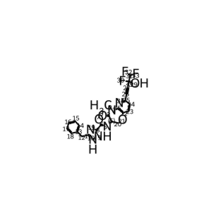 CN1C(=O)[C@@H](NC(=O)c2n[nH]c(Cc3ccccc3)n2)COc2ccc(C#CC(O)(F)C(F)F)nc21